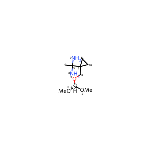 CO[SiH](OC)OCC1(C(C)(N)N)CC1